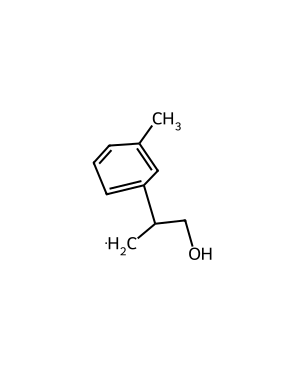 [CH2]C(CO)c1cccc(C)c1